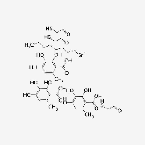 CCCCCCC[CH2][Sn].Cc1cc(O)c(O)c(O)c1C(=O)O.Cc1cc(O)c(O)c(O)c1C(=O)O.Cc1cc(O)c(O)c(O)c1C(=O)O.O=CCS.O=CCS.O=CCS